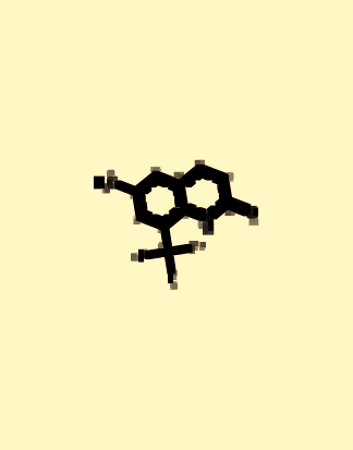 Cc1cc(C(F)(F)F)c2[nH]c(=O)ccc2c1